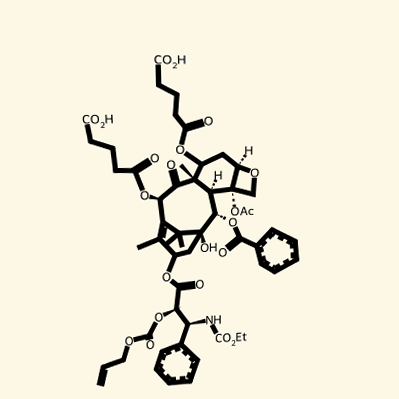 C=CCOC(=O)O[C@@H](C(=O)OC1C[C@@]2(O)[C@@H](OC(=O)c3ccccc3)[C@@H]3[C@]4(OC(C)=O)CO[C@@H]4CC(OC(=O)CCCC(=O)O)[C@@]3(C)C(=O)[C@H](OC(=O)CCCC(=O)O)C(=C1C)C2(C)C)[C@@H](NC(=O)OCC)c1ccccc1